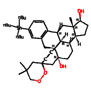 CCC[CH2][Sn]([CH2]CCC)([CH2]CCC)[c]1ccc2c(c1)C[C@]13CCC4(CC(C)(C)COO4)C[C@]1(O)CC[C@@H]1[C@@H]3[C@@H]2C[C@]2(C)[C@@H](O)CC[C@@H]12